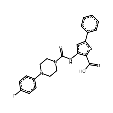 O=C(O)c1sc(-c2ccccc2)cc1NC(=O)N1CCN(c2ccc(F)cc2)CC1